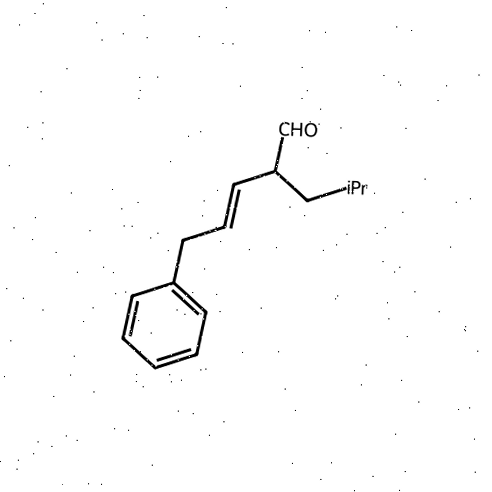 CC(C)CC(C=O)C=CCc1ccccc1